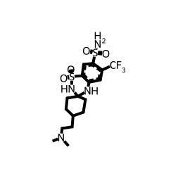 CN(C)CCC1CCC2(CC1)Nc1cc(C(F)(F)F)c(S(N)(=O)=O)cc1S(=O)(=O)N2